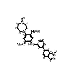 CNc1cc(Nc2cc(-c3ccc4cnn(C)c4c3)ncn2)c(OC)cc1N1CCCN(C)CC1